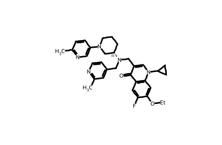 [CH2]COc1cc2c(cc1F)c(=O)c(CN(Cc1ccnc(C)c1)[C@H]1CCCN(c3ccc(C)nc3)C1)cn2C1CC1